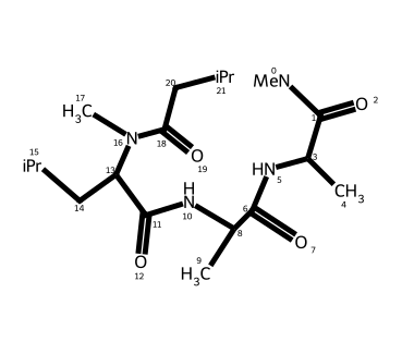 CNC(=O)C(C)NC(=O)C(C)NC(=O)C(CC(C)C)N(C)C(=O)CC(C)C